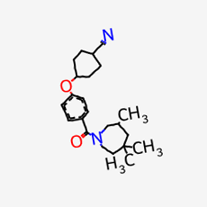 CC1CN(C(=O)c2ccc(OC3CCC(C#N)CC3)cc2)CCC(C)(C)C1